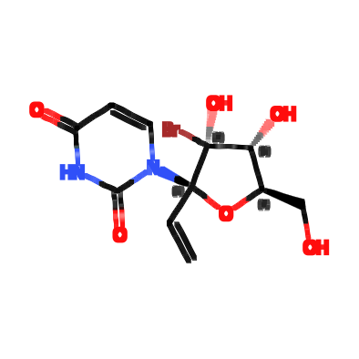 C=C[C@@]1(n2ccc(=O)[nH]c2=O)O[C@H](CO)[C@@H](O)[C@]1(O)Br